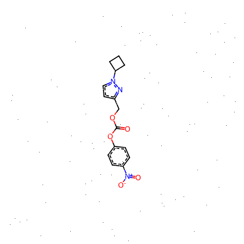 O=C(OCc1ccn(C2CCC2)n1)Oc1ccc([N+](=O)[O-])cc1